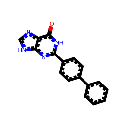 O=c1[nH]c(-c2ccc(-c3ccccc3)cc2)nc2[nH]cnc12